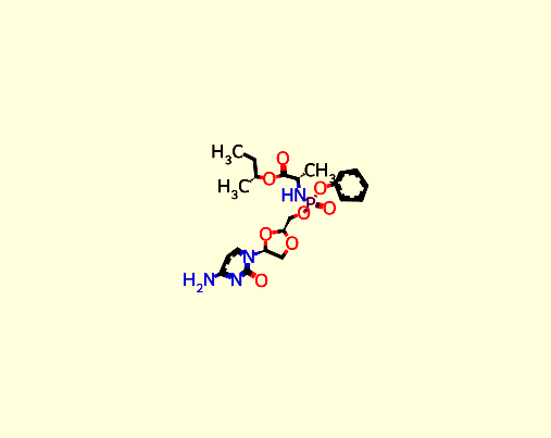 CC[C@@H](C)OC(=O)[C@H](C)NP(=O)(OC[C@H]1OC[C@@H](n2ccc(N)nc2=O)O1)Oc1ccccc1